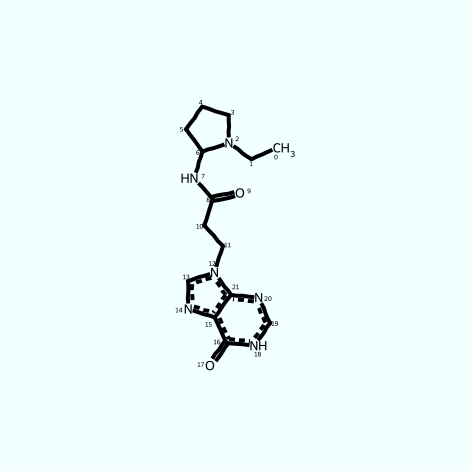 CCN1CCCC1NC(=O)CCn1cnc2c(=O)[nH]cnc21